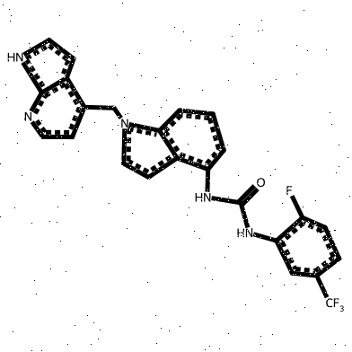 O=C(Nc1cc(C(F)(F)F)ccc1F)Nc1cccc2c1ccn2Cc1ccnc2[nH]ccc12